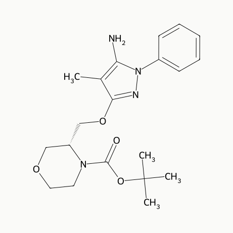 Cc1c(OC[C@H]2COCCN2C(=O)OC(C)(C)C)nn(-c2ccccc2)c1N